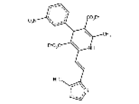 CCOC(=O)C1=C(C)NC(/C=C/c2sccc2C)=C(C(=O)OCC)C1c1cccc([N+](=O)[O-])c1